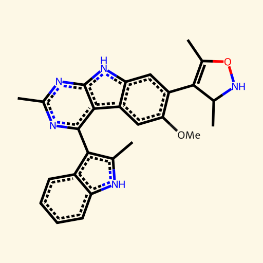 COc1cc2c(cc1C1=C(C)ONC1C)[nH]c1nc(C)nc(-c3c(C)[nH]c4ccccc34)c12